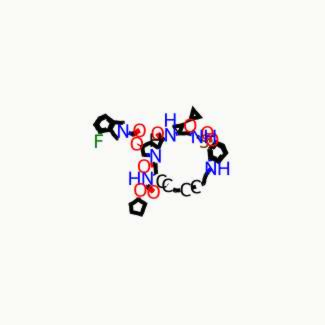 O=C(N[C@H]1CCCCCCCNc2ccccc2S(=O)(=O)NC(=O)[C@]2(C[C@H]2C2CC2)NC(=O)[C@@H]2C[C@@H](OC(=O)N3Cc4cccc(F)c4C3)CN2C1=O)OC1CCCC1